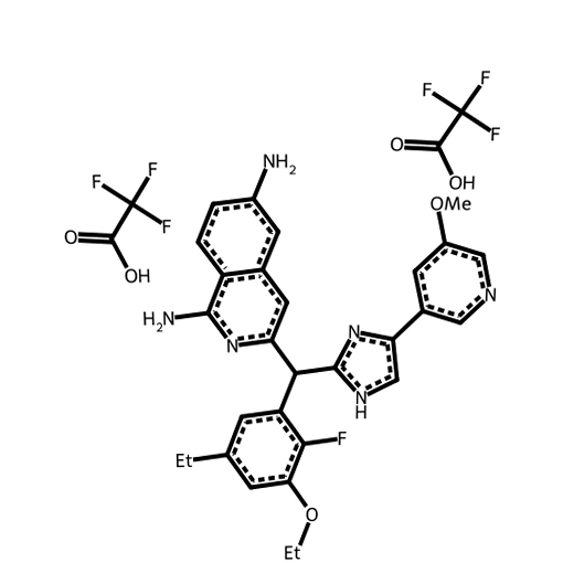 CCOc1cc(CC)cc(C(c2cc3cc(N)ccc3c(N)n2)c2nc(-c3cncc(OC)c3)c[nH]2)c1F.O=C(O)C(F)(F)F.O=C(O)C(F)(F)F